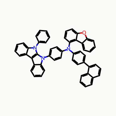 c1ccc(-n2c3ccccc3c3c4ccccc4n(-c4ccc(N(c5ccc(-c6cccc7ccccc67)cc5)c5cccc6oc7ccccc7c56)cc4)c32)cc1